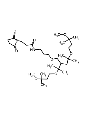 COC(C)(C)CCOC(C)(C)CC(COCCCNC(=O)CCN1C(=O)CCC1=O)C(C)(C)OCCC(C)(C)OC